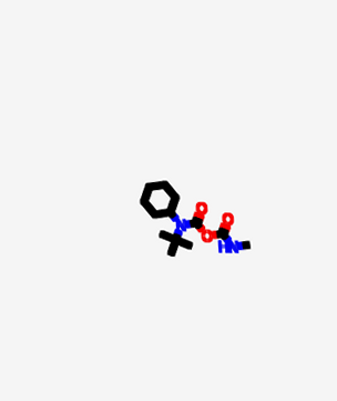 CNC(=O)OC(=O)N(C1CCCCC1)C(C)(C)C